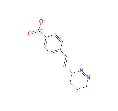 O=[N+]([O-])c1ccc(C=CC2CSCN=N2)cc1